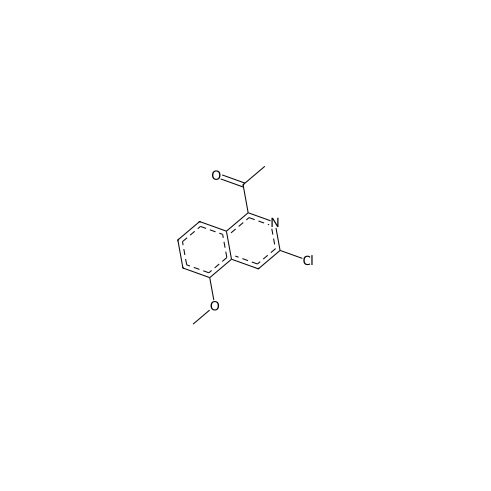 COc1cccc2c(C(C)=O)nc(Cl)cc12